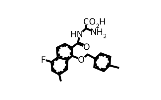 Cc1ccc(COc2c(C(=O)NC(N)C(=O)O)ccc3c(F)cc(C)cc23)cc1